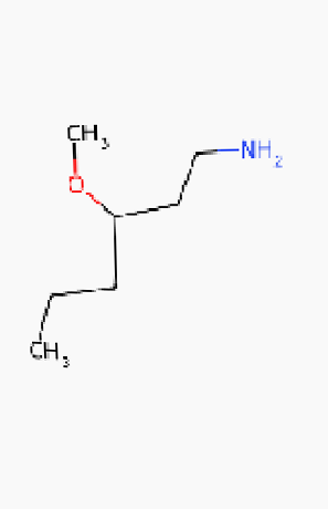 CCCC(CCN)OC